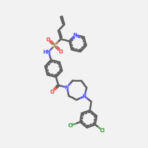 C=C/C=C(\c1ccccn1)S(=O)(=O)Nc1ccc(C(=O)N2CCCN(Cc3cc(Cl)cc(Cl)c3)CC2)cc1